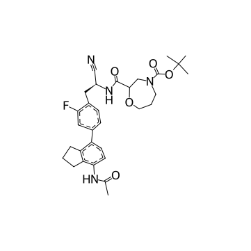 CC(=O)Nc1ccc(-c2ccc(C[C@@H](C#N)NC(=O)C3CN(C(=O)OC(C)(C)C)CCCO3)c(F)c2)c2c1CCC2